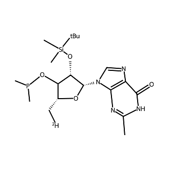 [2H]C[C@H]1O[C@@H](n2cnc3c(=O)[nH]c(C)nc32)[C@@H](O[Si](C)(C)C(C)(C)C)C1OP(C)C